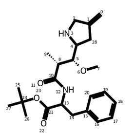 C=C1CNC([C@H](OC)[C@@H](C)C(=O)NC(Cc2ccccc2)C(=O)OC(C)(C)C)C1